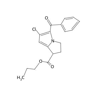 CCCOC(=O)C1CCn2c1cc(Cl)c2C(=O)c1ccccc1